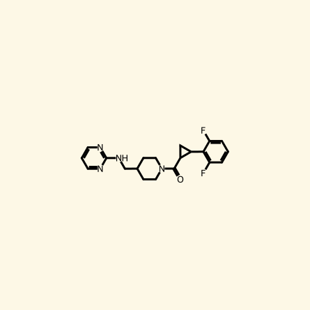 O=C(C1CC1c1c(F)cccc1F)N1CCC(CNc2ncccn2)CC1